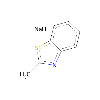 Cc1nc2ccccc2s1.[NaH]